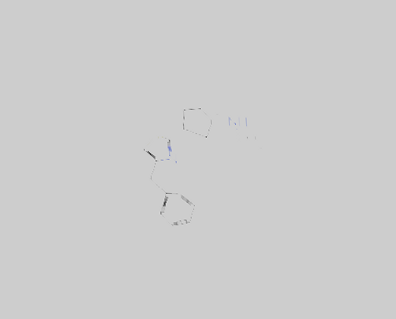 O=C(O)N[C@H]1CC[C@@H](c2nc(Cc3ccccc3)cs2)C1